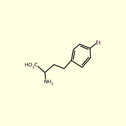 CCc1ccc(CCC(N)C(=O)O)cc1